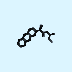 CCC(C)CNC(=O)c1ccc2cc3ccccc3cc2c1